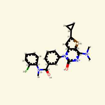 CN(C)c1nc(=O)n(-c2cccc(C(=O)N(C)c3ccccc3F)c2)c2cc(C3CC3)sc12